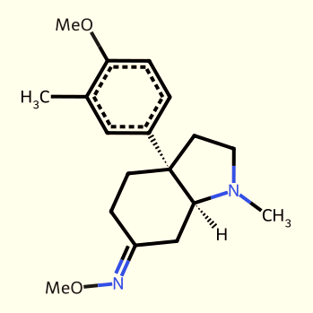 CO/N=C1\CC[C@@]2(c3ccc(OC)c(C)c3)CCN(C)[C@H]2C1